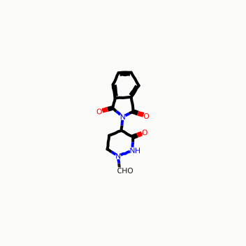 O=CN1CCC(N2C(=O)c3ccccc3C2=O)C(=O)N1